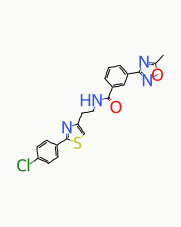 Cc1nc(-c2cccc(C(=O)NCCc3csc(-c4ccc(Cl)cc4)n3)c2)no1